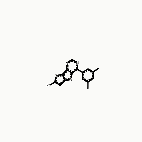 Cc1cc(C)cc(-c2ncnc3c2sc2cc(C(C)C)sc23)c1